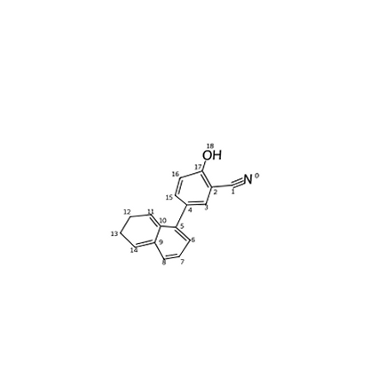 N#Cc1cc(-c2cccc3c2=CCCC=3)ccc1O